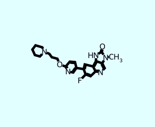 Cn1c(=O)[nH]c2c3cc(-c4ccc(OCCCN5CCCCC5)nc4)c(F)cc3ncc21